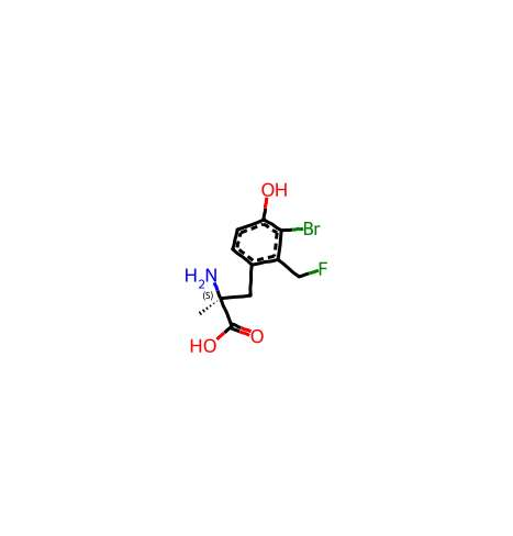 C[C@](N)(Cc1ccc(O)c(Br)c1CF)C(=O)O